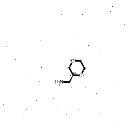 NC[C@H]1COCCO1